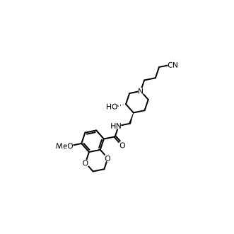 COc1ccc(C(=O)NC[C@@H]2CCN(CCCC#N)C[C@H]2O)c2c1OCCO2